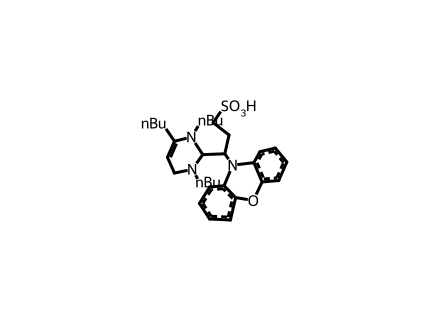 CCCCC1=CCN(CCCC)C(C(CCS(=O)(=O)O)N2c3ccccc3Oc3ccccc32)N1CCCC